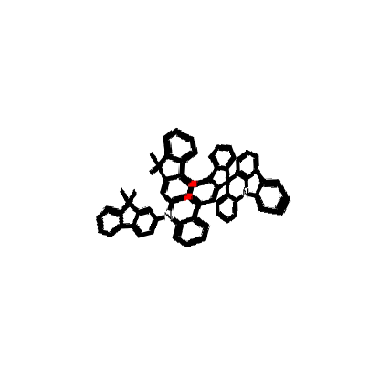 CC1(C)c2ccccc2-c2ccc(N(c3ccc4c(c3)C(C)(C)c3ccccc3-4)c3ccccc3-c3ccc4c(c3)C3(c5ccccc5-4)c4ccccc4-n4c5ccccc5c5cccc3c54)cc21